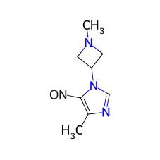 Cc1ncn(C2CN(C)C2)c1N=O